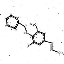 COc1cc(/C=C/C(=O)O)cc(F)c1OCc1ccccc1